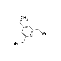 C=Cc1cc(CC(C)C)nc(CC(C)C)c1